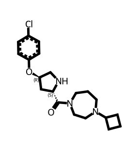 O=C([C@@H]1C[C@@H](Oc2ccc(Cl)cc2)CN1)N1CCCN(C2CCC2)CC1